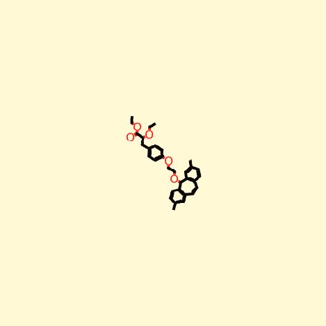 CCOC(=O)C(Cc1ccc(OCCOC2c3ccc(C)cc3C=Cc3ccc(C)cc32)cc1)OCC